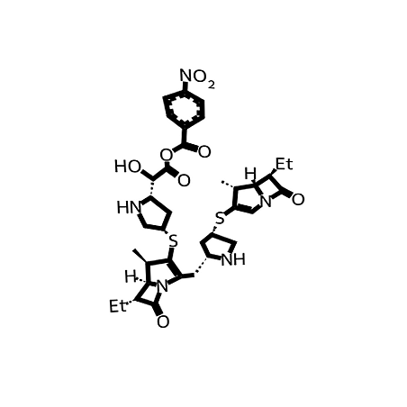 CC[C@H]1C(=O)N2C=C(S[C@@H]3CN[C@H](CC4=C(S[C@@H]5CN[C@H](C(O)C(=O)OC(=O)c6ccc([N+](=O)[O-])cc6)C5)[C@H](C)[C@@H]5[C@@H](CC)C(=O)N45)C3)[C@H](C)[C@H]12